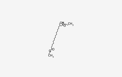 CCCOC(=O)CCCCCCCCCCCCCCCC(CC)CC(=O)OCCC